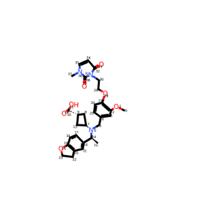 COc1cc(CN([C@H]2C[C@@H](C(=O)O)C2)[C@@H](C)c2ccc3c(c2)CCO3)ccc1OCCn1c(=O)ccn(C)c1=O